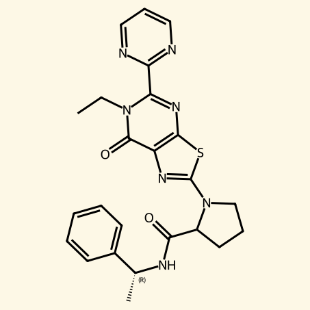 CCn1c(-c2ncccn2)nc2sc(N3CCCC3C(=O)N[C@H](C)c3ccccc3)nc2c1=O